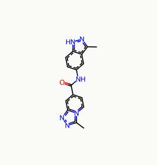 Cc1n[nH]c2ccc(NC(=O)c3ccn4c(C)nnc4c3)cc12